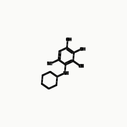 N#Cc1cc(O)c(O)c(C#N)c1NC1CCCCC1